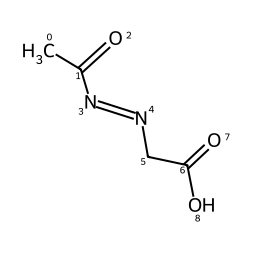 CC(=O)N=NCC(=O)O